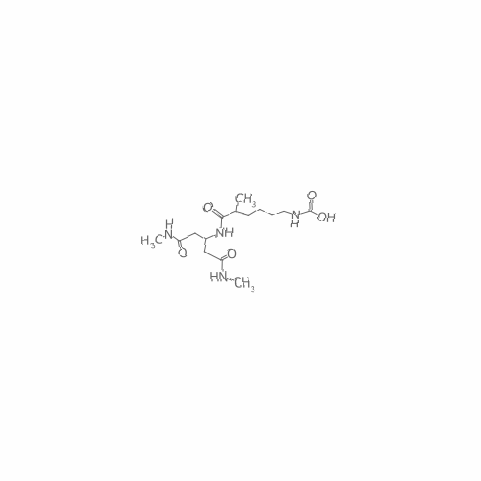 CNC(=O)CC(CC(=O)NC)NC(=O)C(C)CCCCNC(=O)O